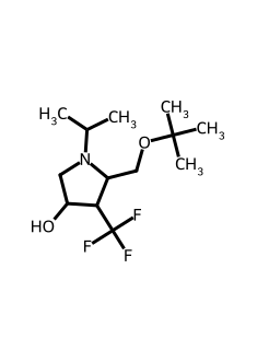 CC(C)N1CC(O)C(C(F)(F)F)C1COC(C)(C)C